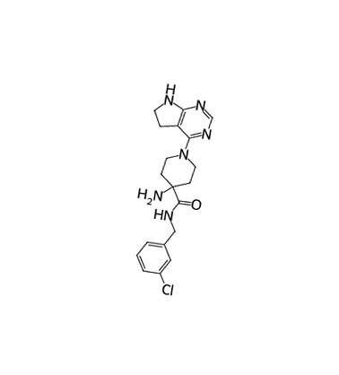 NC1(C(=O)NCc2cccc(Cl)c2)CCN(c2ncnc3c2CCN3)CC1